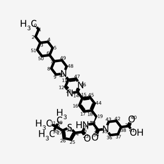 CCCC1CCC(C2CCN(c3cnc(-c4ccc(C[C@H](NC(=O)c5ccc(C(C)(C)C)s5)C(=O)N5CCC(C(=O)O)CC5)cc4)nc3)CC2)CC1